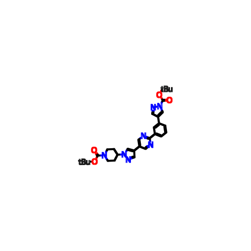 CC(C)(C)OC(=O)N1CCC(n2cc(-c3cnc(-c4cccc(-c5cnn(C(=O)OC(C)(C)C)c5)c4)nc3)cn2)CC1